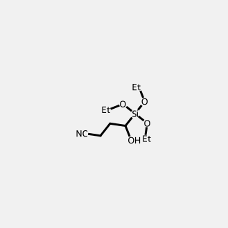 CCO[Si](OCC)(OCC)C(O)CCC#N